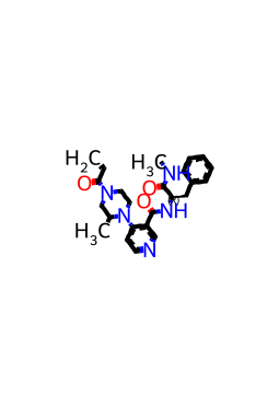 C=CC(=O)N1CCN(c2ccncc2C(=O)N[C@H](Cc2ccccc2)C(=O)NC)C(C)C1